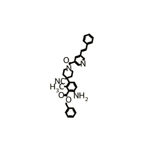 Cc1c(C2(C#N)CCN(C(=O)c3cncc(C=Cc4ccccc4)c3)CC2)ccc(N)c1C(=O)OCc1ccccc1